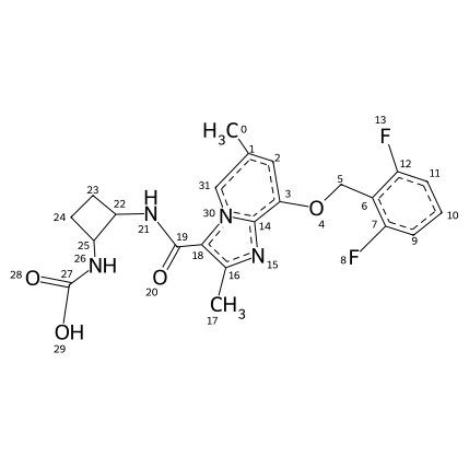 Cc1cc(OCc2c(F)cccc2F)c2nc(C)c(C(=O)NC3CCC3NC(=O)O)n2c1